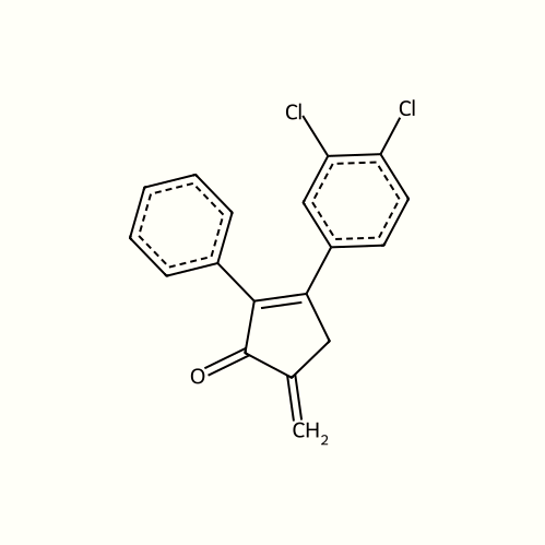 C=C1CC(c2ccc(Cl)c(Cl)c2)=C(c2ccccc2)C1=O